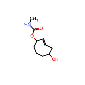 CNC(=O)OC1/C=C/CC(O)CCC1